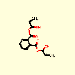 C=CC(O)OC(=O)c1ccccc1C(=O)OC(O)C=C